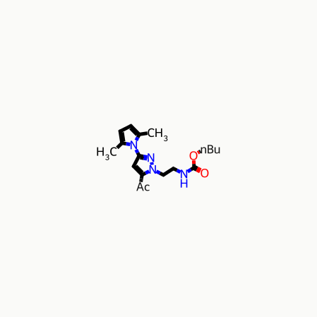 CCCCOC(=O)NCCn1nc(-n2c(C)ccc2C)cc1C(C)=O